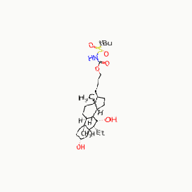 CC[C@H]1[C@@H](O)[C@@H]2[C@H](CC[C@]3(C)[C@@H](CCCCOC(=O)NS(=O)(=O)C(C)(C)C)CC[C@@H]23)[C@@]2(C)CC[C@@H](O)C[C@@H]12